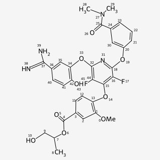 COc1cc(C(=O)OC(C)CO)ccc1Oc1c(F)c(Oc2cccc(C(=O)N(C)C)c2)nc(Oc2cc(C(=N)N)ccc2O)c1F